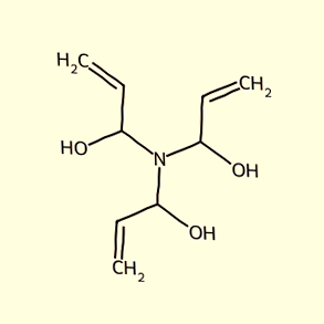 C=CC(O)N(C(O)C=C)C(O)C=C